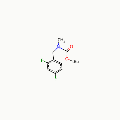 CN(Cc1ccc(F)cc1F)C(=O)OC(C)(C)C